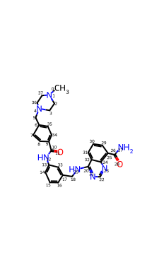 CN1CCN(Cc2ccc(C(=O)Nc3cccc(CNc4ncnc5c(C(N)=O)cccc45)c3)cc2)CC1